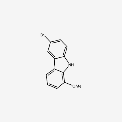 COc1cccc2c1[nH]c1ccc(Br)cc12